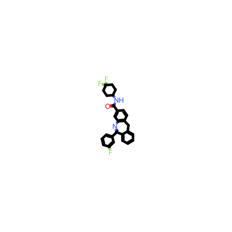 O=C(NC1CCC(F)(F)CC1)c1ccc2c(c1)N=C(c1cccc(F)c1)c1ccccc1C2